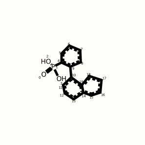 O=P(O)(O)c1ccccc1-c1cccc2ccccc12